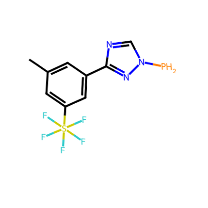 Cc1cc(-c2ncn(P)n2)cc(S(F)(F)(F)(F)F)c1